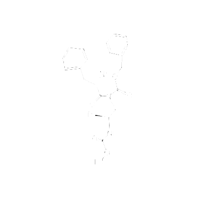 CC(C)[C@@H](CN(C(=O)OCc1ccccc1)C(=O)[C@@H](N)Cc1ccccc1)NC(=O)OC(C)(C)C